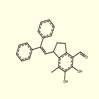 Cc1c(O)c(O)c(C=O)c2c1C(C=C(c1ccccc1)c1ccccc1)CC2